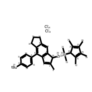 CC1=Cc2c(cc3c(c2-c2ccc(C(C)(C)C)cc2)CCC3)[CH]1[Zr+2][Si](C)(C)C1C(C)=C(C)C(C)=C1C.[Cl-].[Cl-]